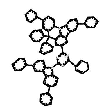 C1=CC(c2nc(-c3cc4c5c(c3)c3cc(-c6ccccc6)ccc3n5-c3ccc(-c5ccccc5)cc3C4(c3ccccc3)c3ccccc3)nc(-n3c4ccc(-c5ccccc5)cc4c4cc(-c5ccccc5)ccc43)n2)=CCC1